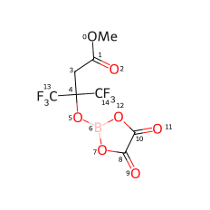 COC(=O)CC(OB1OC(=O)C(=O)O1)(C(F)(F)F)C(F)(F)F